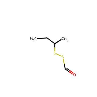 CCC(C)SS[C]=O